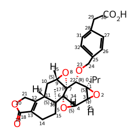 CC(C)[C@]12O[C@H]1[C@@H]1O[C@]13[C@]1(O[C@H]1C[C@H]1C4=C(CC[C@@]13C)C(=O)OC4)[C@@H]2OCc1ccc(CC(=O)O)cc1